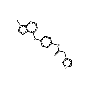 Cn1ccc2c(Oc3ccc(NC(=O)Cc4ccoc4)cc3)ncnc21